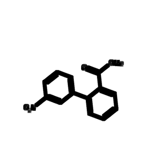 COC(=O)c1ccccc1-c1cccc([N+](=O)[O-])c1